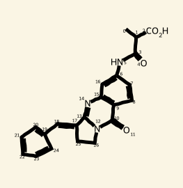 CC(C(=O)O)C(=O)Nc1ccc2c(=O)n3c(nc2c1)C(=Cc1ccccc1)CC3